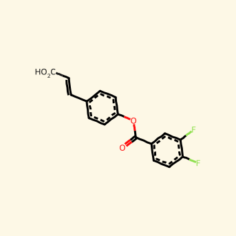 O=C(O)/C=C/c1ccc(OC(=O)c2ccc(F)c(F)c2)cc1